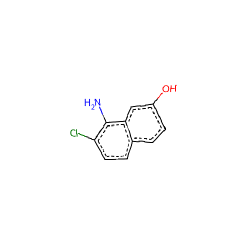 Nc1c(Cl)ccc2ccc(O)cc12